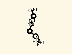 CCC(=O)c1ccc(Cn2cc(-c3cccc(C4CCN(CC(F)(CC)CC)CC4)c3)nn2)c(F)c1